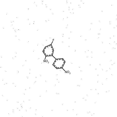 O=[N+]([O-])c1ccc(-c2cc(F)ccc2[N+](=O)[O-])cc1